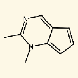 Cc1ncc2cccc-2n1C